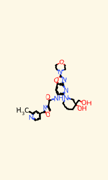 Cc1cc(-c2nc(C(=O)Nc3cc4oc(N5CCOCC5)nc4nc3N3CCCC(O)(CO)C3)co2)ccn1